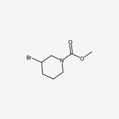 COC(=O)N1CCCC(Br)C1